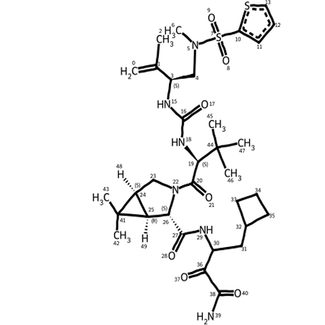 C=C(C)[C@@H](CN(C)S(=O)(=O)c1cccs1)NC(=O)N[C@H](C(=O)N1C[C@H]2[C@@H]([C@H]1C(=O)NC(CC1CCC1)C(=O)C(N)=O)C2(C)C)C(C)(C)C